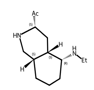 CCN[C@@H]1CCC[C@@H]2CN[C@H](C(C)=O)C[C@@H]21